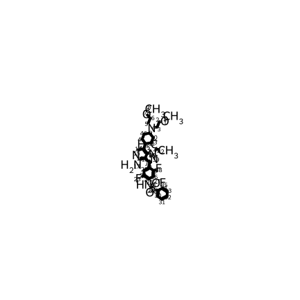 COCCN(CCOC)C1CCC(c2cnc(N)c3c(-c4cc(F)c(NS(=O)(=O)c5ccccc5F)cc4F)nn(C(C)C)c23)CC1